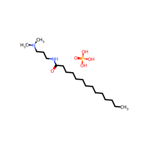 CCCCCCCCCCCCCC(=O)NCCCN(C)C.O=P(O)(O)O